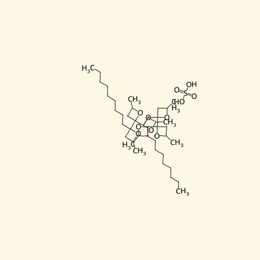 CCCCCCCCCC1(C2(C3(OC4(C5(C6(CCCCCCCCC)CC(C)O6)CC(C)O5)CC(C)O4)CC(C)O3)CC(C)O2)CC(C)O1.O=S(=O)(O)O